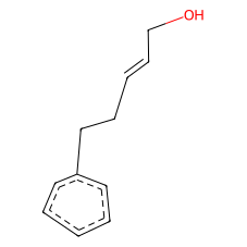 OC/C=C/CCc1ccccc1